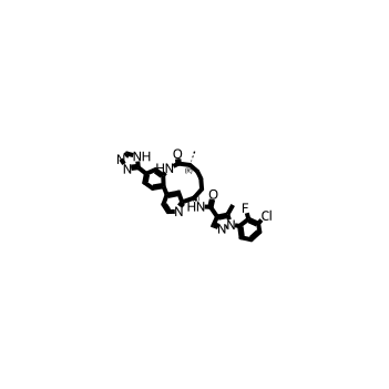 Cc1c(C(=O)N[C@H]2CCC[C@@H](C)C(=O)Nc3cc(-c4nnc[nH]4)ccc3-c3ccnc2c3)cnn1-c1cccc(Cl)c1F